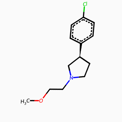 COCCN1CC[C@H](c2ccc(Cl)cc2)C1